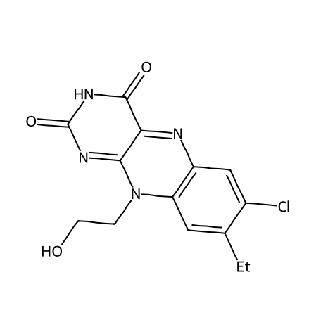 CCc1cc2c(cc1Cl)nc1c(=O)[nH]c(=O)nc-1n2CCO